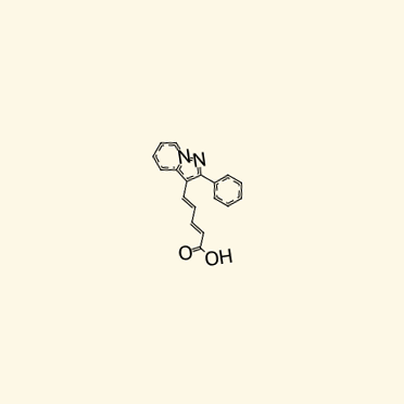 O=C(O)C=CC=Cc1c(-c2ccccc2)nn2ccccc12